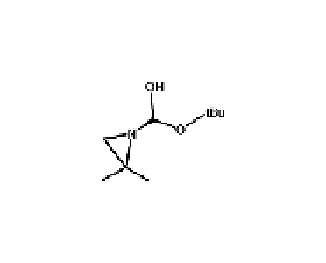 CC(C)(C)OC(O)[N@]1CC1(C)C